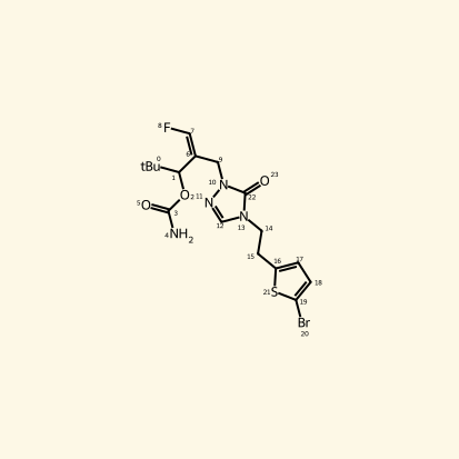 CC(C)(C)C(OC(N)=O)C(=CF)Cn1ncn(CCc2ccc(Br)s2)c1=O